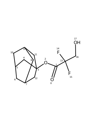 O=C(OC12CC3CC(CC(C3)C1)C2)C(F)(F)CO